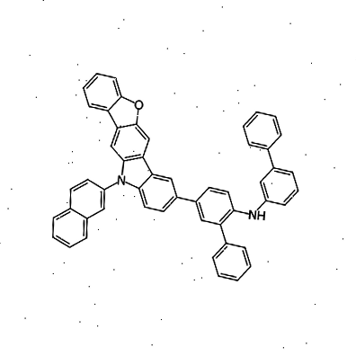 c1ccc(-c2cccc(Nc3ccc(-c4ccc5c(c4)c4cc6oc7ccccc7c6cc4n5-c4ccc5ccccc5c4)cc3-c3ccccc3)c2)cc1